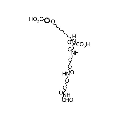 O=CCNC(=O)COCCOCCNC(=O)COCCOCCNC(=O)CC[C@H](NC(=O)CCCCCCCCCCOc1ccc(C(=O)O)cc1)C(=O)O